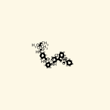 CCC(C)(C)OC(=O)Nc1ccc(C(=O)Nc2cccc(Nc3cc(-c4cn(S(=O)(=O)c5ccccc5)c5ccccc45)c(Cl)cn3)c2)cc1